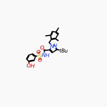 Cc1cc(C)c(Cn2nc(C(C)(C)C)cc2C(=O)NS(=O)(=O)c2cccc(O)c2)c(C)c1